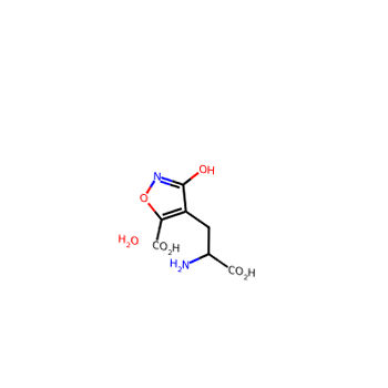 NC(Cc1c(O)noc1C(=O)O)C(=O)O.O